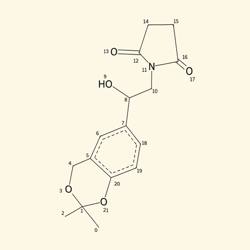 CC1(C)OCc2cc(C(O)CN3C(=O)CCC3=O)ccc2O1